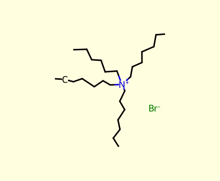 CCCCCCC[N+](CCCCCC)(CCCCCCC)CCCCCCC.[Br-]